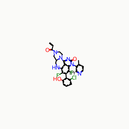 C=CC(=O)N1CCN2c3nc(=O)n(-c4c(C)ccnc4C(C)C)c4c(F)c(-c5c(O)cccc5Cl)c(F)c(c34)NCC2C1